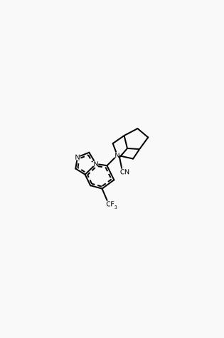 N#CCC1C2CCC1CN(c1cc(C(F)(F)F)cc3cncn13)C2